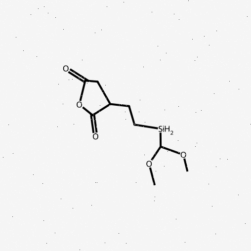 COC(OC)[SiH2]CCC1CC(=O)OC1=O